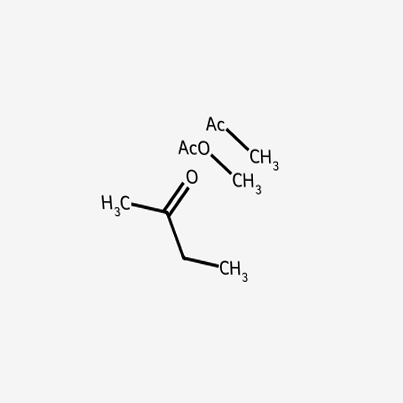 CC(C)=O.CCC(C)=O.COC(C)=O